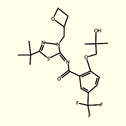 CC(C)(O)COc1ccc(C(F)(F)F)cc1C(=O)N=c1sc(C(C)(C)C)nn1CC1CCO1